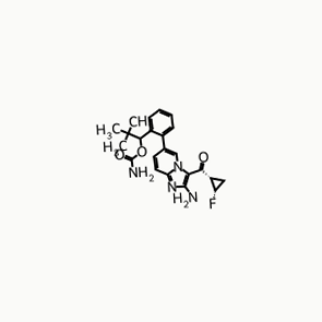 CC(C)(C)C(OC(N)=O)c1ccccc1-c1ccc2nc(N)c(C(=O)[C@@H]3C[C@@H]3F)n2c1